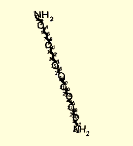 NCCOCCCCCOCCCCCOCCOCCOCCOCCOCCOCCN